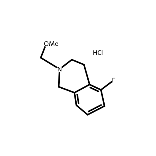 COCN1CCc2c(F)cccc2C1.Cl